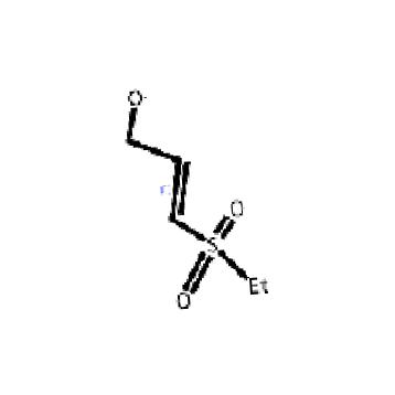 CCS(=O)(=O)/C=C/C[O]